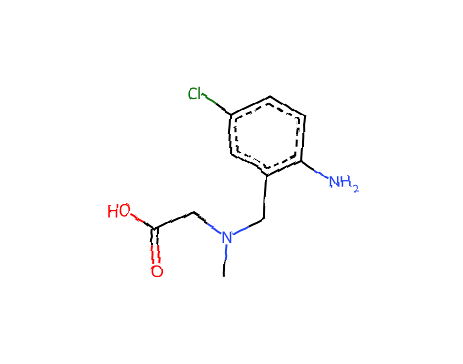 CN(CC(=O)O)Cc1cc(Cl)ccc1N